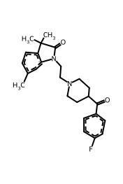 Cc1ccc2c(c1)N(CCN1CCC(C(=O)c3ccc(F)cc3)CC1)C(=O)C2(C)C